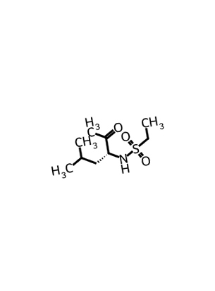 CCS(=O)(=O)N[C@H](CC(C)C)C(C)=O